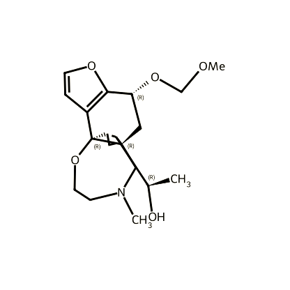 COCO[C@@H]1C[C@@]23CN(C)CCO[C@@]2(CC=C3[C@@H](C)O)c2ccoc21